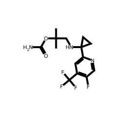 CC(C)(CNC1(c2cc(C(F)(F)F)c(F)cn2)CC1)OC(N)=O